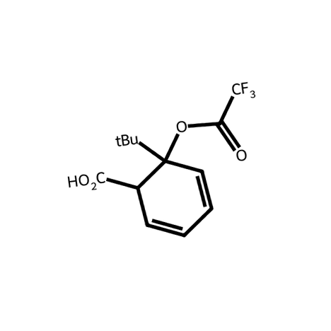 CC(C)(C)C1(OC(=O)C(F)(F)F)C=CC=CC1C(=O)O